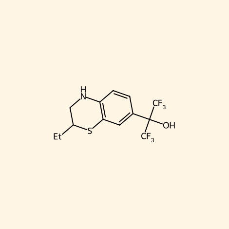 CCC1CNc2ccc(C(O)(C(F)(F)F)C(F)(F)F)cc2S1